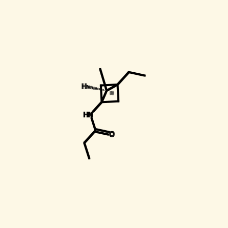 CCC(=O)NC12CC(CC)(C1)[C@@H]2C